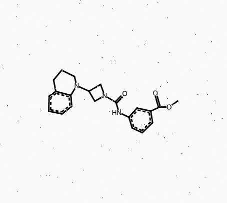 COC(=O)c1cccc(NC(=O)N2CC(N3CCCc4ccccc43)C2)c1